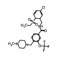 CCS(=O)(=O)C1C=CC(Cl)=CC1CNC(=O)c1ccc(CN2CCN(C)CC2)c(OC(F)(F)F)c1